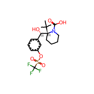 CC(C)(C)[C@]1([C@@H](O)c2cccc(OS(=O)(=O)C(F)(F)F)c2)CCCCN1C(=O)O